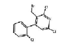 Clc1cc(-c2ccccc2Cl)c(CBr)c(Cl)n1